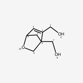 OCC1=CC2CC1(CO)CO2